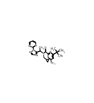 CC(c1ncnn1-c1ncccn1)N(CC1CC1)C(=O)c1cc(C(F)(F)F)cc(C(C)(C)C#N)n1